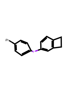 CC(C)c1ccc([I+]c2ccc3c(c2)CC3)cc1